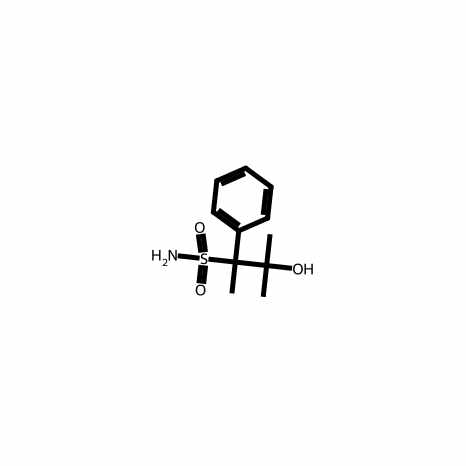 CC(C)(O)C(C)(c1ccccc1)S(N)(=O)=O